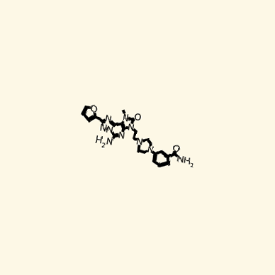 Cn1c(=O)n(CCN2CCN(c3cccc(C(N)=O)c3)CC2)c2nc(N)n3nc(-c4ccco4)nc3c21